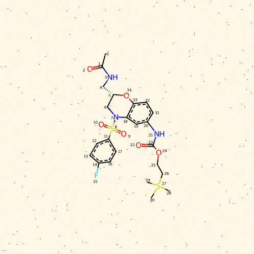 CC(=O)NC[C@H]1CN(S(=O)(=O)c2ccc(F)cc2)c2cc(NC(=O)OCCS(C)(C)C)ccc2O1